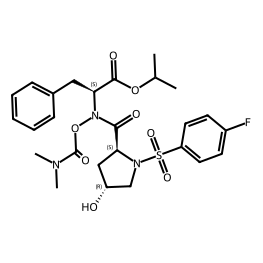 CC(C)OC(=O)[C@H](Cc1ccccc1)N(OC(=O)N(C)C)C(=O)[C@@H]1C[C@@H](O)CN1S(=O)(=O)c1ccc(F)cc1